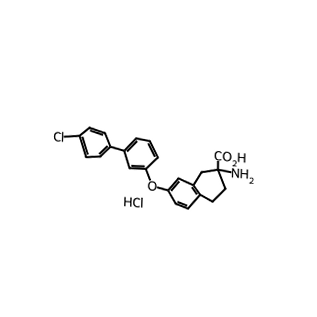 Cl.NC1(C(=O)O)CCc2ccc(Oc3cccc(-c4ccc(Cl)cc4)c3)cc2C1